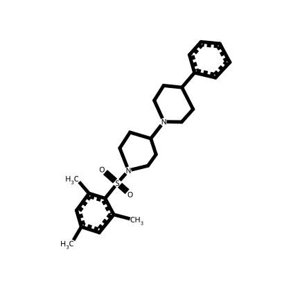 Cc1cc(C)c(S(=O)(=O)N2CCC(N3CCC(c4ccccc4)CC3)CC2)c(C)c1